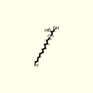 CC(=O)CCCCCCCCCCCCOCC(O)CO